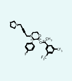 C[C@@H](O[C@H]1OCCN(CC#CCN2CCCC2)[C@H]1c1ccc(F)cc1)c1cc(C(F)(F)F)cc(C(F)(F)F)c1